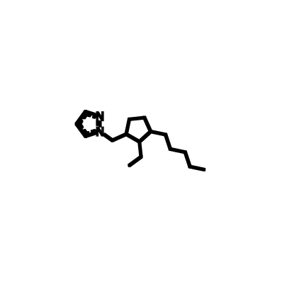 CCCCCC1CCC(Cn2cccn2)C1CC